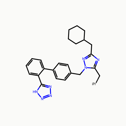 CC(C)Cc1nc(CC2CCCCC2)nn1Cc1ccc(-c2ccccc2-c2nnn[nH]2)cc1